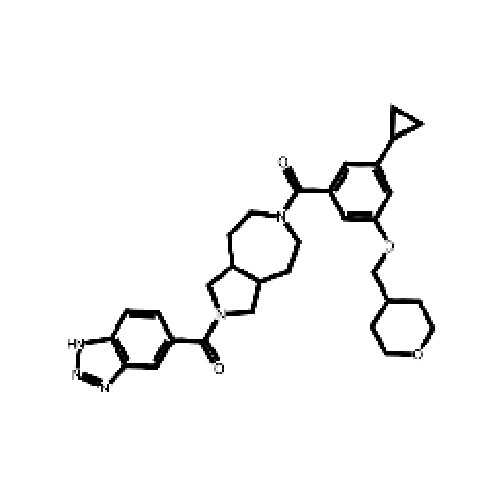 O=C(c1cc(OCC2CCOCC2)cc(C2CC2)c1)N1CCC2CN(C(=O)c3ccc4[nH]nnc4c3)CC2CC1